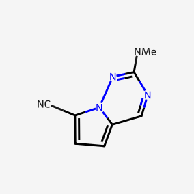 CNc1ncc2ccc(C#N)n2n1